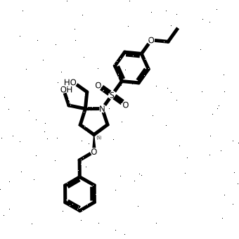 CCOc1ccc(S(=O)(=O)N2C[C@@H](OCc3ccccc3)CC2(CO)CO)cc1